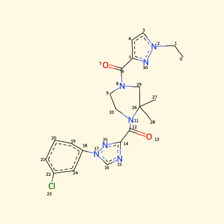 CCn1ccc(C(=O)N2CCN(C(=O)c3ncn(-c4cccc(Cl)c4)n3)C(C)(C)C2)n1